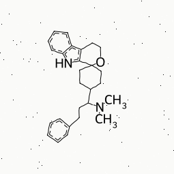 CN(C)C(CCc1ccccc1)C1CCC2(CC1)OCCc1c2[nH]c2ccccc12